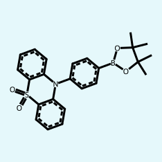 CC1(C)OB(c2ccc(N3c4ccccc4S(=O)(=O)c4ccccc43)cc2)OC1(C)C